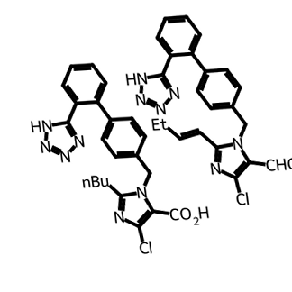 CC/C=C/c1nc(Cl)c(C=O)n1Cc1ccc(-c2ccccc2-c2nnn[nH]2)cc1.CCCCc1nc(Cl)c(C(=O)O)n1Cc1ccc(-c2ccccc2-c2nnn[nH]2)cc1